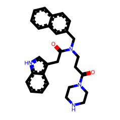 O=C(CCN(Cc1ccc2ccccc2c1)C(=O)Cc1c[nH]c2ccccc12)N1CCNCC1